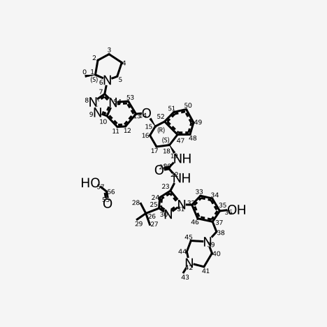 C[C@H]1CCCCN1c1nnc2ccc(O[C@@H]3CC[C@H](NC(=O)Nc4cc(C(C)(C)C)nn4-c4ccc(O)c(CN5CCN(C)CC5)c4)c4ccccc43)cn12.O=CO